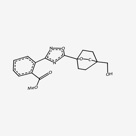 COC(=O)c1ccccc1-c1noc(C23CCC(CO)(CC2)CO3)n1